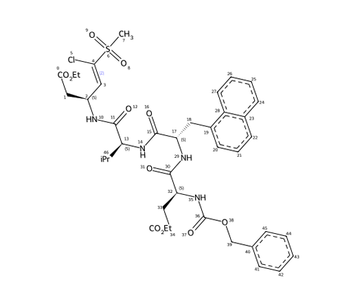 CCOC(=O)C[C@@H](/C=C(\Cl)S(C)(=O)=O)NC(=O)[C@@H](NC(=O)[C@H](Cc1cccc2ccccc12)NC(=O)[C@H](CC(=O)OCC)NC(=O)OCc1ccccc1)C(C)C